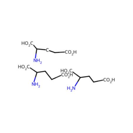 NC(CCC(=O)O)C(=O)O.NC(CCC(=O)O)C(=O)O.NC(CCC(=O)O)C(=O)O